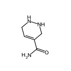 NC(=O)C1=CCNNC1